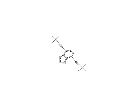 CC(C)(C)C#Cc1ccc(C#CC(C)(C)C)c2[nH]ccc12